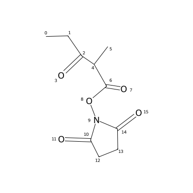 CCC(=O)C(C)C(=O)ON1C(=O)CCC1=O